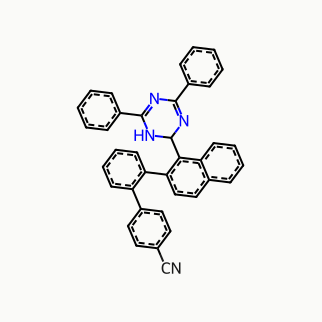 N#Cc1ccc(-c2ccccc2-c2ccc3ccccc3c2C2N=C(c3ccccc3)N=C(c3ccccc3)N2)cc1